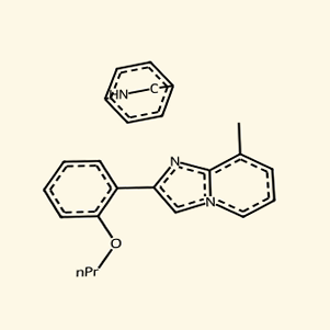 CCCOc1ccccc1-c1cn2cccc(C)c2n1.c1cc2ccc1CN2